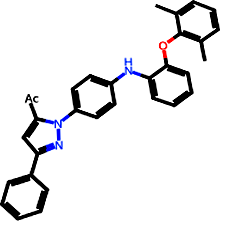 CC(=O)c1cc(-c2ccccc2)nn1-c1ccc(Nc2ccccc2Oc2c(C)cccc2C)cc1